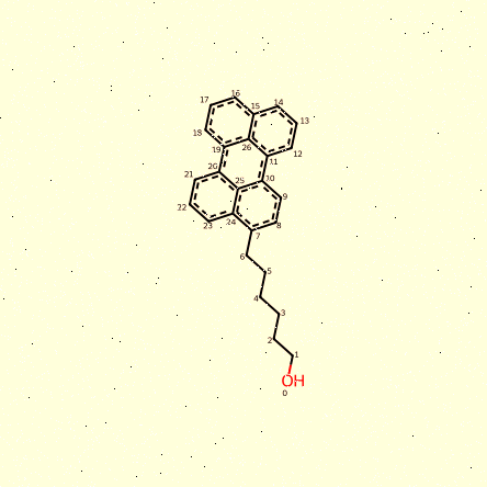 OCCCCCCc1ccc2c3cccc4cccc(c5cccc1c52)c43